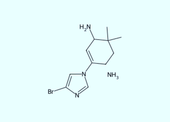 CC1(C)CCC(n2cnc(Br)c2)=CC1N.N